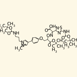 C[n+]1cc(-c2ccc(OCC(ON=C(C(=O)O)c3nsc(NC(=O)OC(C)(C)C)n3)C(=O)OC(C)(C)C)cc2)cn1CCCNC(=O)OC(C)(C)C